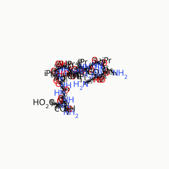 CC(C)C[C@H](NC(=O)[C@H](CCCCN)NC(=O)[C@H](CO)NC(=O)[C@@H](N)CCCCN)C(=O)NCC(=O)N[C@@H](CC(=O)O)C(=O)N[C@@H](CC(C)C)C(=O)N[C@H](C(=O)N[C@H](C(=O)N[C@H](C(=O)N[C@@H](CO)C(=O)N[C@@H](CC(C)C)C(=O)N1CCC[C@H]1C(=O)NCC(=O)NCC(=O)N[C@@H](CCC(N)=O)C(=O)N[C@@H](CCC(=O)O)C(=O)O)C(C)C)[C@@H](C)O)C(C)C